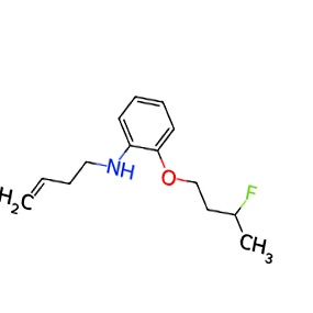 C=CCCNc1ccccc1OCCC(C)F